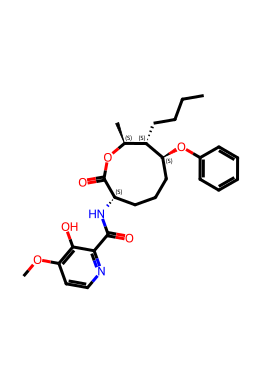 CCCC[C@H]1[C@H](C)OC(=O)[C@@H](NC(=O)c2nccc(OC)c2O)CCC[C@@H]1Oc1ccccc1